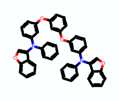 c1ccc(N(c2cccc(Oc3cccc(Oc4cccc(N(c5ccccc5)c5coc6ccccc56)c4)c3)c2)c2coc3ccccc23)cc1